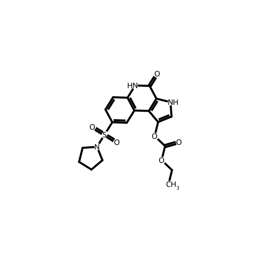 CCOC(=O)Oc1c[nH]c2c(=O)[nH]c3ccc(S(=O)(=O)N4CCCC4)cc3c12